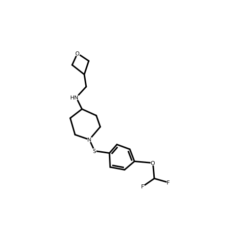 FC(F)Oc1ccc(SN2CCC(NCC3COC3)CC2)cc1